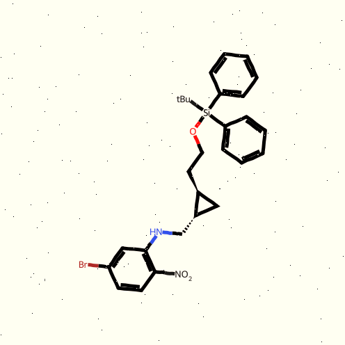 CC(C)(C)[Si](OCC[C@H]1C[C@@H]1CNc1cc(Br)ccc1[N+](=O)[O-])(c1ccccc1)c1ccccc1